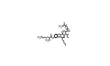 CCCCCC(=O)NC(Cc1ccc(OC(=O)C(N)CCCCN)cc1)C(=O)NC(C(=O)NC(C)(C)CC(C)(C)C(N)=S)C(C)CC